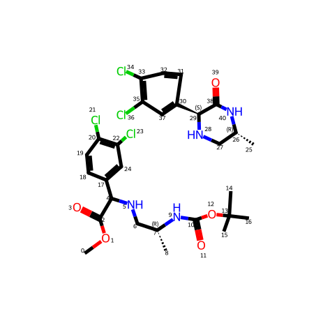 COC(=O)C(NC[C@@H](C)NC(=O)OC(C)(C)C)c1ccc(Cl)c(Cl)c1.C[C@@H]1CN[C@@H](c2ccc(Cl)c(Cl)c2)C(=O)N1